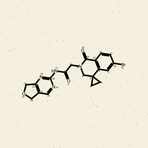 O=C(CN1CC2(CC2)c2cc(Br)ccc2C1=O)Nc1ncc2c(n1)COC2